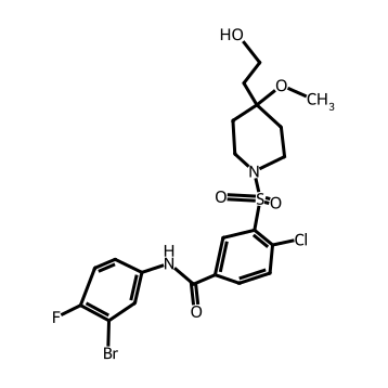 COC1(CCO)CCN(S(=O)(=O)c2cc(C(=O)Nc3ccc(F)c(Br)c3)ccc2Cl)CC1